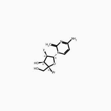 C=C1N=C(N)C=CN1[C@@H]1O[C@@](CO)(C(C)C)[C@@H](O)[C@H]1F